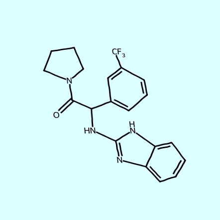 O=C(C(Nc1nc2ccccc2[nH]1)c1cccc(C(F)(F)F)c1)N1CCCC1